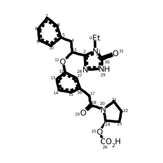 CCn1c(C(Cc2ccccc2)Oc2cccc(CC(=O)N3CCC[C@H]3OC(=O)O)c2)n[nH]c1=O